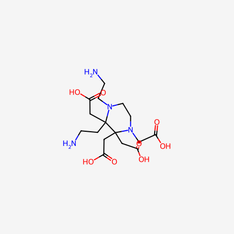 NCCN1CCN(CC(=O)O)C(CC(=O)O)(CC(=O)O)C1(CCN)CC(=O)O